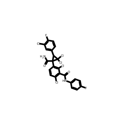 NC(=O)C1(c2ccc(Cl)c(C(=O)Nc3ccc(F)cc3)c2Cl)C(c2ccc(F)c(Cl)c2)C1(Cl)Cl